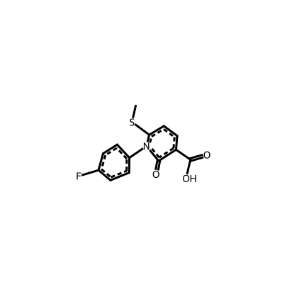 CSc1ccc(C(=O)O)c(=O)n1-c1ccc(F)cc1